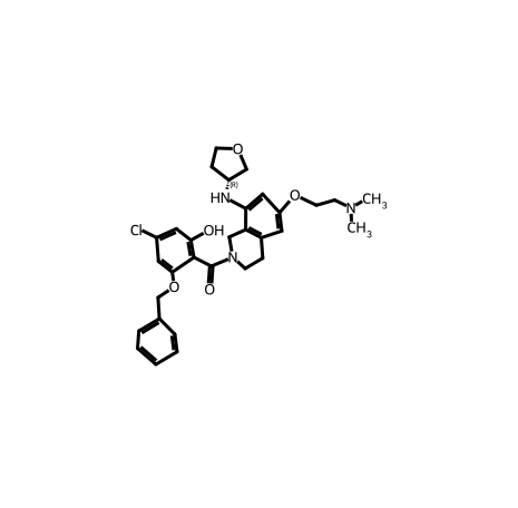 CN(C)CCOc1cc2c(c(N[C@@H]3CCOC3)c1)CN(C(=O)c1c(O)cc(Cl)cc1OCc1ccccc1)CC2